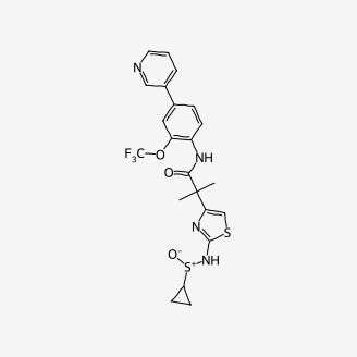 CC(C)(C(=O)Nc1ccc(-c2cccnc2)cc1OC(F)(F)F)c1csc(N[S+]([O-])C2CC2)n1